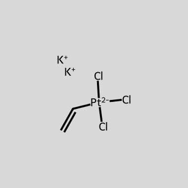 C=[CH][Pt-2]([Cl])([Cl])[Cl].[K+].[K+]